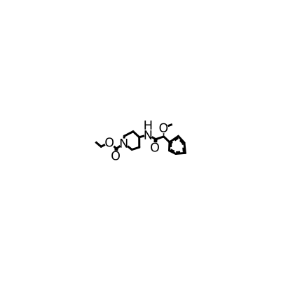 CCOC(=O)N1CCC(NC(=O)[C@H](OC)c2ccccc2)CC1